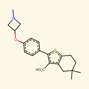 CN1CC(Oc2ccc(-c3sc4c(c3C(=O)O)CC(C)(C)CC4)cc2)C1